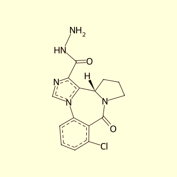 NNC(=O)c1ncn2c1[C@@H]1CCCN1C(=O)c1c(Cl)cccc1-2